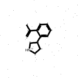 C=C(C)c1ccccc1C1CCNC1